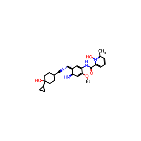 CCOC1=CC(=N)/C(=C\[N+]#CC2CCC(O)(C3CC3)CC2)C=C1NC(=O)c1cccc(C)[n+]1O